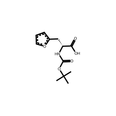 CC(C)(C)OC(=O)N[C@H](Cc1ccco1)C(=O)O